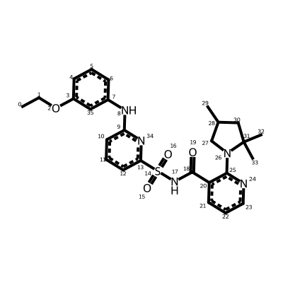 CCOc1cccc(Nc2cccc(S(=O)(=O)NC(=O)c3cccnc3N3CC(C)CC3(C)C)n2)c1